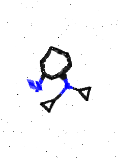 Nc1ccccc1N(C1CC1)C1CC1